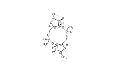 C[C@@H]1O[C@@H]2COP(C)(=O)O[C@H]3[C@H](F)[C@H](C)O[C@@H]3COP(C)(=O)O[C@H]2[C@@H]1F